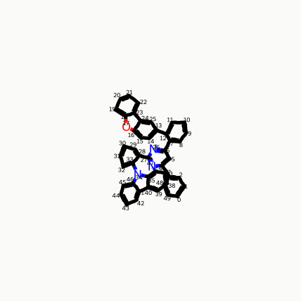 c1ccc(-c2cc(-c3ccccc3-c3ccc4oc5ccccc5c4c3)nc(-c3ccccc3-n3c4ccccc4c4ccccc43)n2)cc1